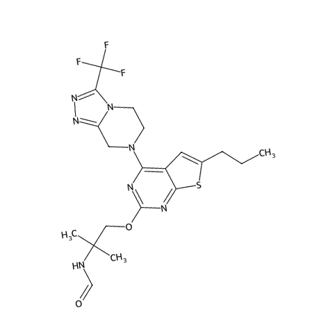 CCCc1cc2c(N3CCn4c(nnc4C(F)(F)F)C3)nc(OCC(C)(C)NC=O)nc2s1